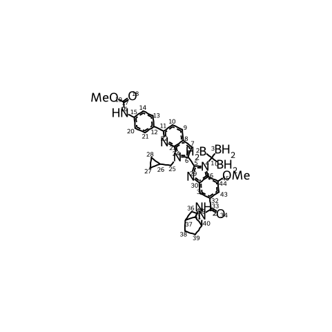 BC(B)(B)n1c(-c2cc3ccc(-c4ccc(NC(=O)OC)cc4)nc3n2CC2CC2)nc2cc(C(=O)N3CC4CCC3C4N)cc(OC)c21